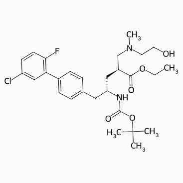 CCOC(=O)[C@@H](C[C@@H](Cc1ccc(-c2cc(Cl)ccc2F)cc1)NC(=O)OC(C)(C)C)CN(C)CCO